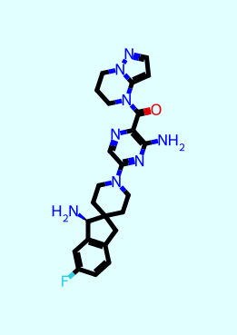 Nc1nc(N2CCC3(CC2)Cc2ccc(F)cc2[C@H]3N)cnc1C(=O)N1CCCn2nccc21